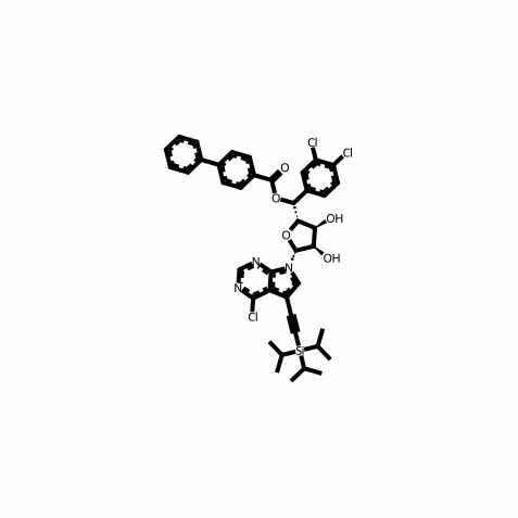 CC(C)[Si](C#Cc1cn([C@@H]2O[C@H](C(OC(=O)c3ccc(-c4ccccc4)cc3)c3ccc(Cl)c(Cl)c3)[C@@H](O)[C@H]2O)c2ncnc(Cl)c12)(C(C)C)C(C)C